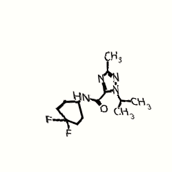 Cc1nc(C(=O)NC2CCC(F)(F)CC2)n(C(C)C)n1